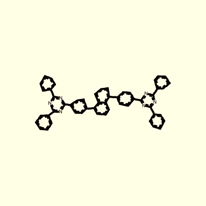 c1ccc(-c2nc(-c3ccccc3)nc(-c3ccc(-c4cccc5c(-c6ccc(-c7nc(-c8ccccc8)nc(-c8ccccc8)n7)cc6)cccc45)cc3)n2)cc1